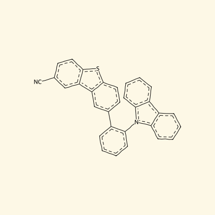 N#Cc1ccc2sc3ccc(-c4ccccc4-n4c5ccccc5c5ccccc54)cc3c2c1